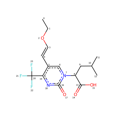 CCOC=Cc1cn(C(CC(C)C)C(=O)O)c(=O)nc1C(F)(F)F